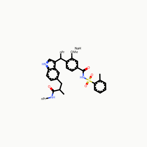 CCCNC(=O)C(C)Cc1ccc2[nH]cc(C(CCC)c3ccc(C(=O)NS(=O)(=O)c4ccccc4C)cc3OC)c2c1.[NaH]